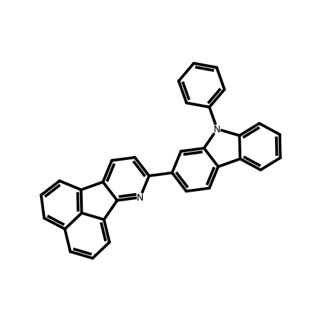 c1ccc(-n2c3ccccc3c3ccc(-c4ccc5c(n4)-c4cccc6cccc-5c46)cc32)cc1